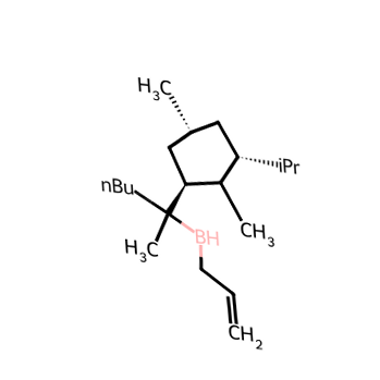 C=CCBC(C)(CCCC)[C@H]1C[C@H](C)C[C@H](C(C)C)C1C